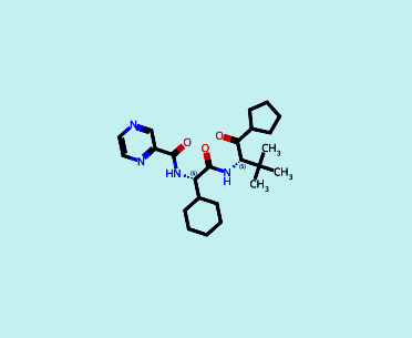 CC(C)(C)[C@H](NC(=O)[C@@H](NC(=O)c1cnccn1)C1CCCCC1)C(=O)C1CCCC1